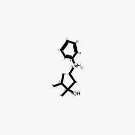 CC(C)C(C)(O)CC[SiH2]c1ccccc1